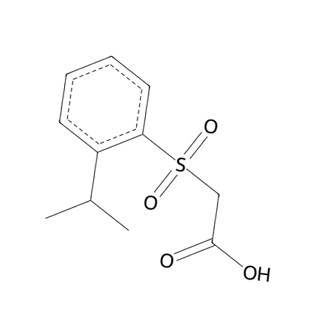 CC(C)c1ccccc1S(=O)(=O)CC(=O)O